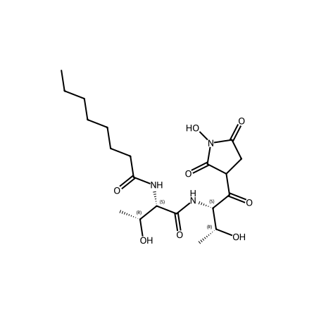 CCCCCCCC(=O)N[C@H](C(=O)N[C@H](C(=O)C1CC(=O)N(O)C1=O)[C@@H](C)O)[C@@H](C)O